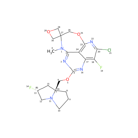 CN1c2nc(OC[C@@]34CCCN3C[C@H](F)C4)nc3c(F)c(Cl)nc(c23)OCC12COC2